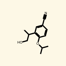 [CH2]C(CO)c1cc(C#N)ccc1OC(C)C